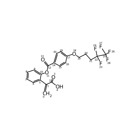 C=C(C(=O)O)c1ccccc1OC(=O)c1ccc(OCCCC(F)(F)C(F)(F)F)cc1